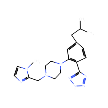 CC(C)Cc1ccc(-c2nn[nH]n2)c(N2CCN(Cc3nccn3C)CC2)c1